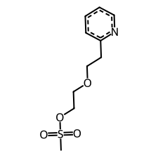 CS(=O)(=O)OCCOCCc1ccccn1